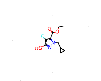 CCOC(=O)c1c(F)c(O)nn1CC1CC1